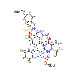 COc1ccc(CN(c2nn(C)c3c(-n4c([C@H](Cc5cc(F)cc(F)c5)NC(=O)OC(C)(C)C)nc5c(C)cccc5c4=O)ccc(Cl)c23)S(C)(=O)=O)cc1